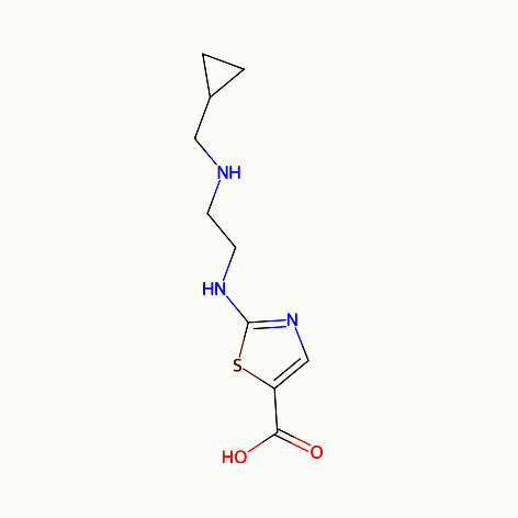 O=C(O)c1cnc(NCCNCC2CC2)s1